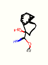 CCOC(=N)C1(O)CCc2ccccc21